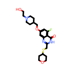 O=c1[nH]c(CSC2CCOCC2)nc2cc(OCC3CCN(CCO)CC3)cc(F)c12